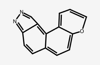 c1coc2ccc3ccc4nncc4c3c2c1